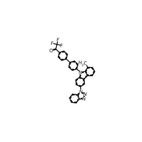 Cc1cccc2c3cc(-n4nnc5ccccc54)ccc3n(-c3ccc(-c4ccc(C(=O)C(F)(F)F)cc4)cc3)c12